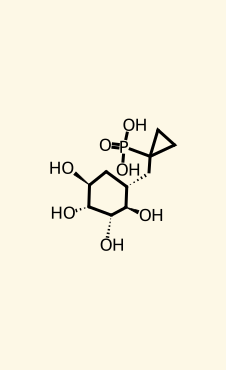 O=P(O)(O)C1(C[C@H]2C[C@H](O)[C@@H](O)[C@@H](O)[C@@H]2O)CC1